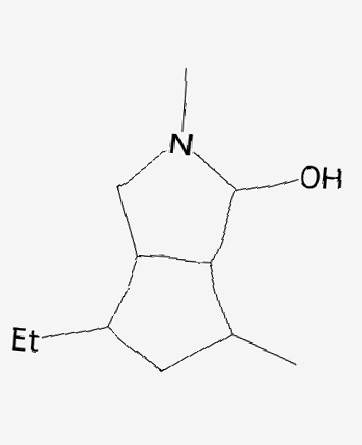 CCC1CC(C)C2C1CN(C)C2O